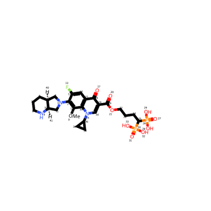 COc1c(N2C[C@@H]3CCCN[C@@H]3C2)c(F)cc2c(=O)c(C(=O)OCCCC(P(=O)(O)O)P(=O)(O)O)cn(C3CC3)c12